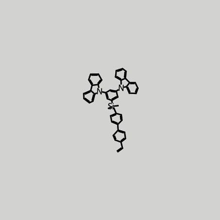 C=Cc1ccc(-c2ccc([Si](C)(C)c3cc(-n4c5ccccc5c5ccccc54)cc(-n4c5ccccc5c5ccccc54)c3)cc2)cc1